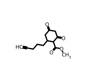 C#CCCCC1CC(=O)CC(=O)C1C(=O)OC